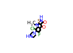 CCn1c2s[nH]c(=O)c2c(=O)c2cc(F)c(N3CCNCC3)c(Cl)c21